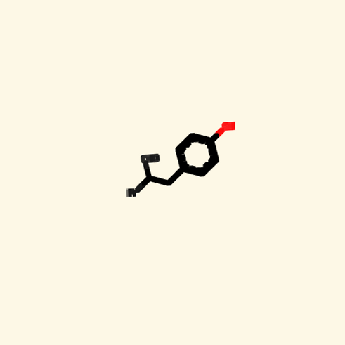 CC(C)C(C=O)Cc1ccc(O)cc1